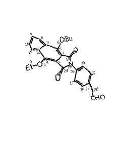 CCOc1c2c(c(OCC(C)C)c3ccccc13)C(=O)N(c1ccc(CC=O)cc1)C2=O